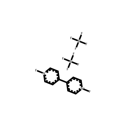 F[B-](F)(F)F.F[B-](F)(F)F.F[n+]1ccc(-c2cc[n+](F)cc2)cc1